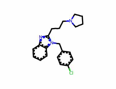 Clc1ccc(Cn2c(CCCN3CCCC3)nc3ccccc32)cc1